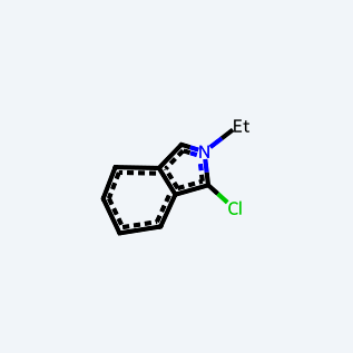 CCn1cc2ccccc2c1Cl